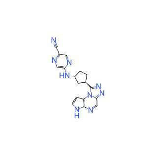 N#Cc1cnc(N[C@@H]2CC[C@@H](c3nnc4cnc5[nH]ccc5n34)C2)cn1